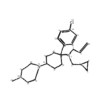 C=CCN(CC1CC1)C1(c2ccc(Cl)cc2)CCC(N2CCN(C)CC2)CC1